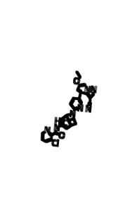 CCOc1cc(-c2ccc(N3C4CC5CC6(NC(=O)c7ncccc7Cl)CC3C54C6)nc2)c2c(C#N)cnn2c1